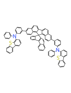 c1ccc(N(c2cccc(-c3ccc4c5c(ccc4c3)-c3ccc4cc(-c6cccc(N(c7ccccc7)c7cccc8c7sc7ccccc78)c6)ccc4c3C53c4ccccc4-c4c3ccc3ccccc43)c2)c2cccc3c2sc2ccccc23)cc1